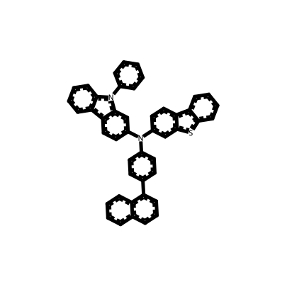 c1ccc(-n2c3ccccc3c3ccc(N(c4ccc(-c5cccc6ccccc56)cc4)c4ccc5c(c4)sc4ccccc45)cc32)cc1